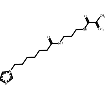 C=C(C)C(=O)NCCCNC(=O)CCCCCCn1ccnc1